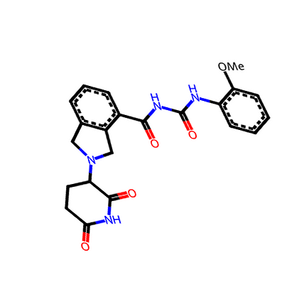 COc1ccccc1NC(=O)NC(=O)c1cccc2c1CN(C1CCC(=O)NC1=O)C2